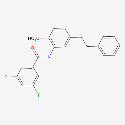 O=C(Nc1cc(CCc2ccccc2)ccc1C(=O)O)c1cc(F)cc(F)c1